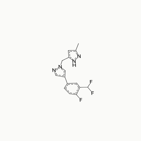 Cc1cc(Cn2cc(-c3ccc(F)c(C(F)F)c3)cn2)[nH]n1